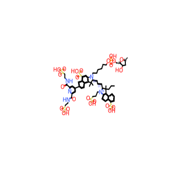 CCCC1(C)C(/C=C/C=C2/N(CCCCCCOP(=O)(O)OC[C@H]3O[C@@H](C)CC3O)c3cc(S(=O)(=O)O)c4cc(-c5cc(C(=O)NCCS(=O)(=O)O)nc(C(=O)NCCS(=O)(=O)O)c5)ccc4c3C2(C)C)=[N+](CCCS(=O)(=O)O)c2ccc3c(S(=O)(=O)O)cccc3c21